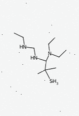 CCNCNC(N(CC)CC)C(C)(C)[SiH3]